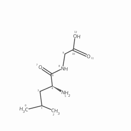 CC(C)C[C@H](N)C(=O)NCC(=O)O